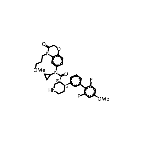 COCCCN1C(=O)COc2ccc(N(C(=O)[C@H]3CNCC[C@@H]3c3cccc(-c4c(F)cc(OC)cc4F)c3)C3CC3)cc21